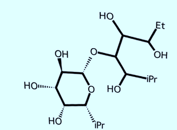 CCC(O)C(O)C(O[C@@H]1O[C@H](C(C)C)[C@H](O)[C@H](O)[C@H]1O)C(O)C(C)C